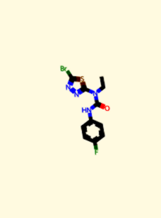 CCN(C(=O)Nc1ccc(F)cc1)c1nnc(Br)s1